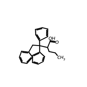 CCCC(C(=O)O)C(Cc1ccccc1)(c1ccccc1)c1ccccc1